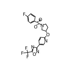 O=S(=O)(c1ccc(F)cc1)N1CCC(Oc2ccc(-c3noc(C(F)(F)F)n3)cn2)C1